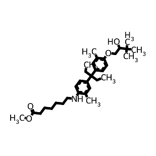 CCC(CC)(c1ccc(NCCCCCCC(=O)OC)c(C)c1)c1ccc(OCC(O)C(C)(C)C)c(C)c1